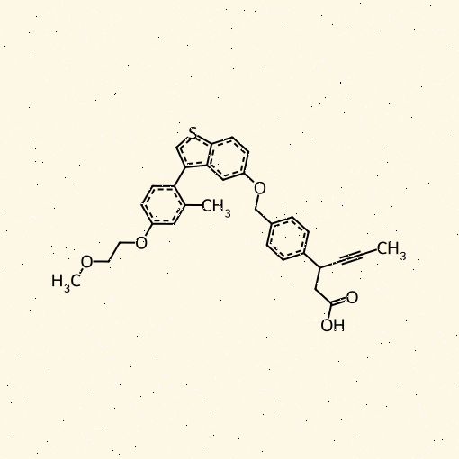 CC#CC(CC(=O)O)c1ccc(COc2ccc3scc(-c4ccc(OCCOC)cc4C)c3c2)cc1